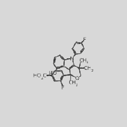 CC1(C)COC(C)(c2ccc(C(=O)O)cc2F)c2c1n(-c1ccc(F)cc1)c1cccc(O)c21